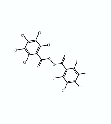 O=C(OOC(=O)c1c(Cl)c(Cl)c(Cl)c(Cl)c1Cl)c1c(Cl)c(Cl)c(Cl)c(Cl)c1Cl